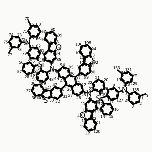 Cc1cccc(N(c2ccc([Si]3(c4ccccc4)c4ccccc4N(c4ccc5c(-c6ccc7sc8ccccc8c7c6)c6cc(N7c8ccccc8[Si](c8ccccc8)(c8ccc(N(c9cccc(C)c9)c9cccc(C)c9)cc8)c8cc9c(cc87)oc7ccccc79)ccc6c(-c6ccc7sc8ccccc8c7c6)c5c4)c4cc5oc6ccccc6c5cc43)cc2)c2cccc(C)c2)c1